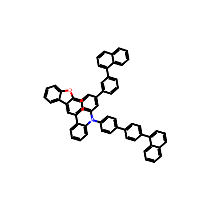 c1cc(-c2cccc(N(c3ccc(-c4ccc(-c5cccc6ccccc56)cc4)cc3)c3ccccc3-c3ccc4oc5ccccc5c4c3)c2)cc(-c2cccc3ccccc23)c1